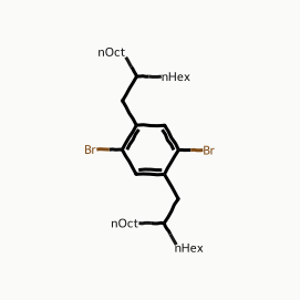 CCCCCCCCC(CCCCCC)Cc1cc(Br)c(CC(CCCCCC)CCCCCCCC)cc1Br